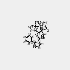 CCOC(=O)C1(CC(F)(F)F)CCCN1c1nc(-n2ccnc2-c2ccccc2)ncc1[N+](=O)[O-]